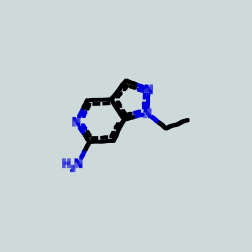 CCn1ncc2cnc(N)cc21